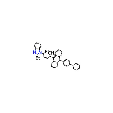 CCc1nc2ccccc2n1C(/C=C\C(C)c1c2ccccc2c(-c2ccc(-c3ccccc3)cc2)c2ccccc12)CC